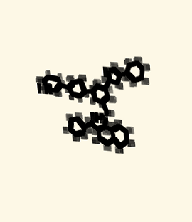 C1=CC(c2ccc(-c3cc(Cn4nc(-c5ccccc5)c5ccc6ccccc6c54)cc(C4=NC=C(C5=CCCCC5)C4)c3)cc2)=CNC1